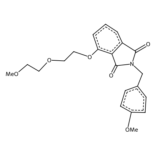 COCCOCCOc1cccc2c1C(=O)N(Cc1ccc(OC)cc1)C2=O